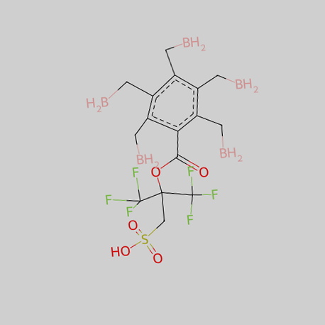 BCc1c(CB)c(CB)c(C(=O)OC(CS(=O)(=O)O)(C(F)(F)F)C(F)(F)F)c(CB)c1CB